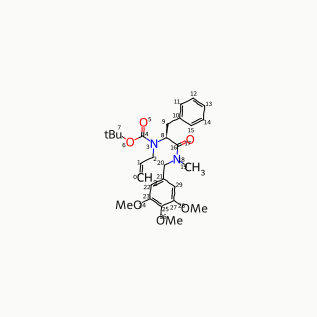 C=CCN(C(=O)OC(C)(C)C)[C@@H](Cc1ccccc1)C(=O)N(C)Cc1cc(OC)c(OC)c(OC)c1